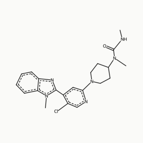 CNC(=O)N(C)C1CCN(c2cc(-c3nc4ccccc4n3C)c(Cl)cn2)CC1